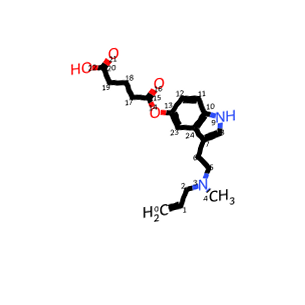 C=CCN(C)CCc1c[nH]c2ccc(OC(=O)CCCC(=O)O)cc12